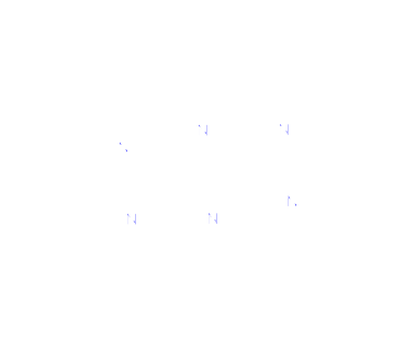 C1=Nc2nc3c(nc2=N1)N=CN=3